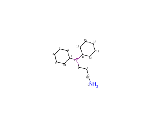 [NH2][Ir][CH2]CP(C1CCCCC1)C1CCCCC1